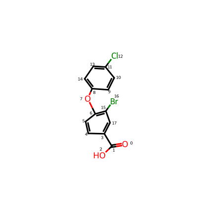 O=C(O)c1ccc(Oc2ccc(Cl)cc2)c(Br)c1